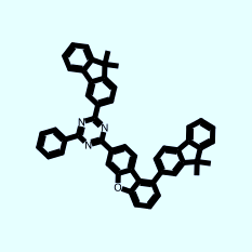 CC1(C)c2ccccc2-c2cc(-c3nc(-c4ccccc4)nc(-c4ccc5c(c4)oc4cccc(-c6ccc7c(c6)C(C)(C)c6ccccc6-7)c45)n3)ccc21